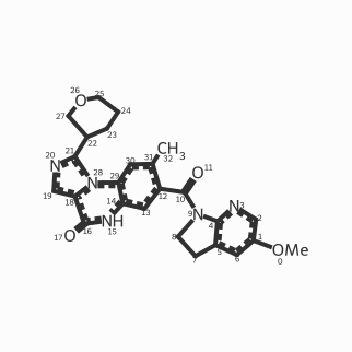 COc1cnc2c(c1)CCN2C(=O)c1cc2[nH]c(=O)c3cnc(C4CCCOC4)n3c2cc1C